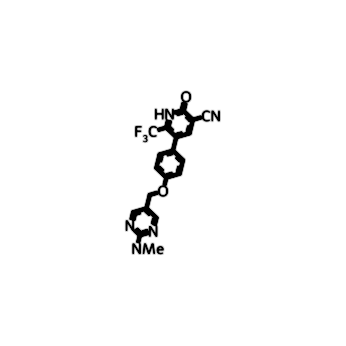 CNc1ncc(COc2ccc(-c3cc(C#N)c(=O)[nH]c3C(F)(F)F)cc2)cn1